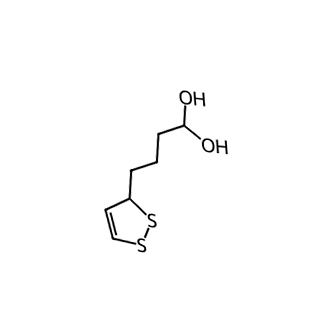 OC(O)CCCC1C=CSS1